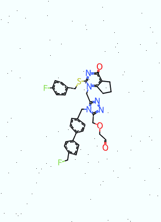 O=CCOCc1nnc(Cn2c(SCc3ccc(F)cc3)nc(=O)c3c2CCC3)n1Cc1ccc(-c2ccc(CF)cc2)cc1